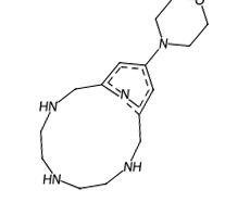 c1c(N2CCOCC2)cc2nc1CNCCNCCNC2